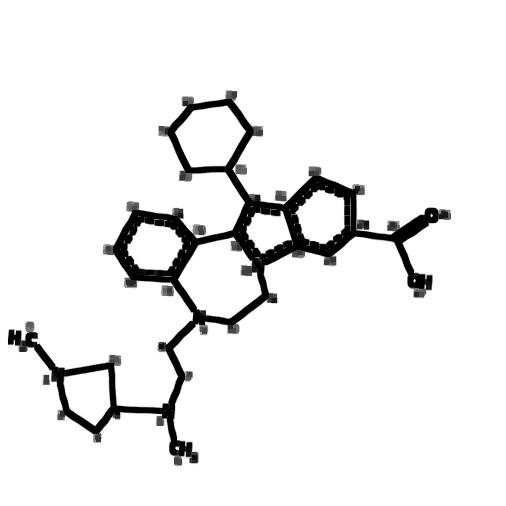 CN1CCC(N(C)CCN2CCn3c(c(C4CCCCC4)c4ccc(C(=O)O)cc43)-c3ccccc32)C1